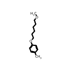 COCCCCCCOc1ccc(C)cc1